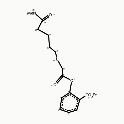 CCOC(=O)c1ccccc1OC(=O)CCCCCCC(=O)NC